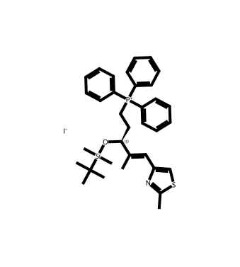 CC(=Cc1csc(C)n1)[C@H](CC[P+](c1ccccc1)(c1ccccc1)c1ccccc1)O[Si](C)(C)C(C)(C)C.[I-]